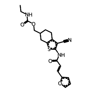 CCNC(=O)OCC1CCc2c(sc(NC(=O)C=Cc3ccco3)c2C#N)C1